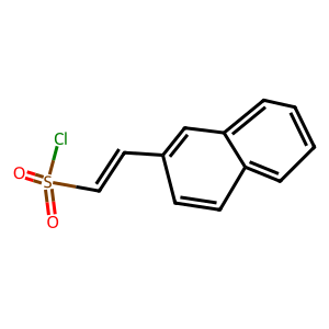 O=S(=O)(Cl)/C=C/c1ccc2ccccc2c1